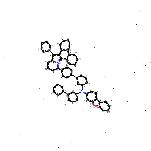 c1ccc(-c2cccc(N(c3cccc(-c4ccc(-c5cccc6c(-c7ccccc7)c7c8ccccc8c8ccccc8c7n56)cc4)c3)c3ccc4c(c3)oc3ccccc34)c2)cc1